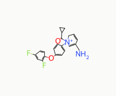 NCC1=C[N+](C(=O)C2CC2)(c2ccc(Oc3ccc(F)cc3F)cc2)CC=C1